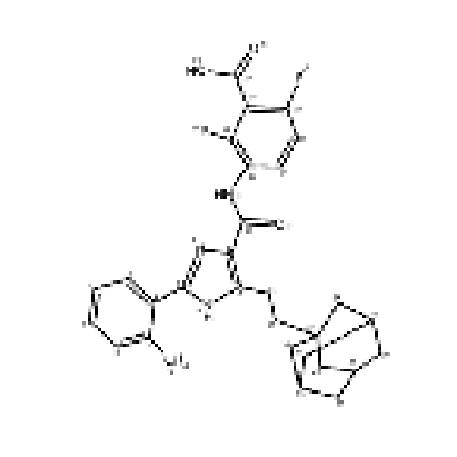 Cc1ccccc1-c1nc(C(=O)Nc2ccc(F)c(C(=O)O)c2F)c(CCC23CC4CC(CC(C4)C2)C3)[nH]1